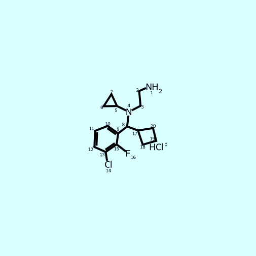 Cl.NCCN(C1CC1)C(c1cccc(Cl)c1F)C1CCC1